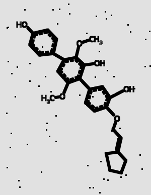 COc1cc(-c2ccc(O)cc2)c(OC)c(O)c1-c1ccc(OCC=C2CCCC2)c(O)c1